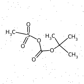 CC(C)(C)OC(=O)OS(C)(=O)=O